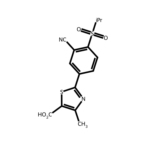 Cc1nc(-c2ccc(S(=O)(=O)C(C)C)c(C#N)c2)sc1C(=O)O